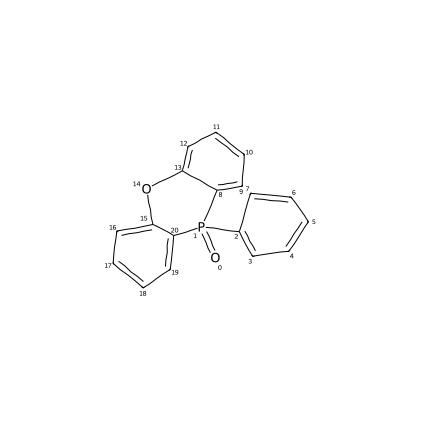 O=P1(c2ccccc2)c2ccccc2Oc2ccccc21